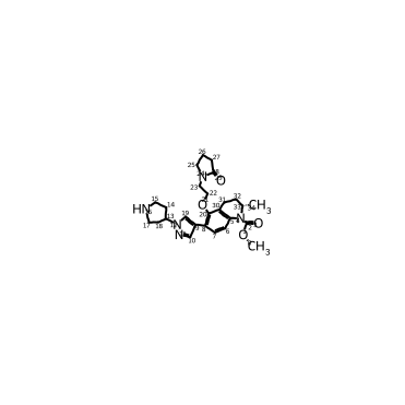 COC(=O)N1c2ccc(-c3cnn(C4CCNCC4)c3)c(OCCN3CCCC3=O)c2CC[C@@H]1C